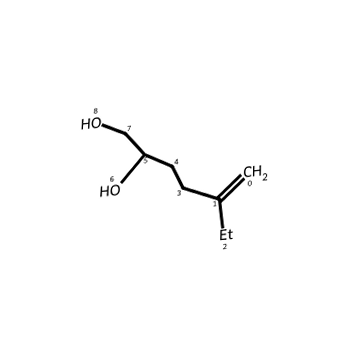 C=C(CC)CCC(O)CO